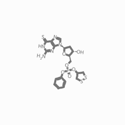 Nc1nc2c(ncn2[C@H]2C[C@H](O)[C@@H](COP(=O)(Oc3ccccc3)OC3CSSC3)O2)c(=S)[nH]1